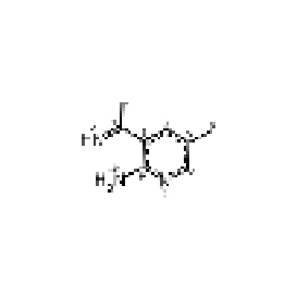 CC(=N)c1cc(C)cnc1N